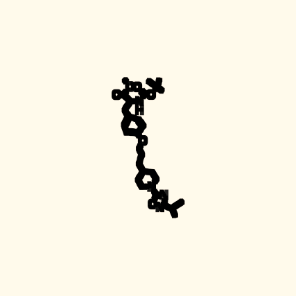 COC(=O)C(Cc1ccc(OCCCC2CCN(c3nc(C(C)C)no3)CC2)cc1)NC(=O)OC(C)(C)C